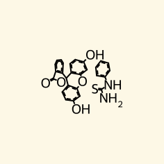 NC(=S)Nc1ccccc1.O=C1OC2(c3ccc(O)cc3Oc3cc(O)ccc32)c2ccccc21